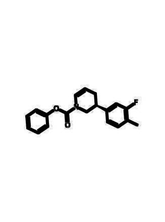 Cc1ccc([C@@H]2CC=CN(C(=O)Oc3ccccc3)C2)cc1F